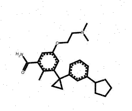 Cc1c(C(N)=O)cc(OCCN(C)C)cc1C1(c2cccc(C3CCCC3)c2)CC1